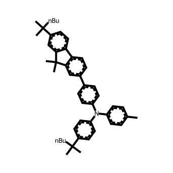 CCCCC(C)(C)c1ccc(N(c2ccc(C)cc2)c2ccc(-c3ccc4c(c3)C(C)(C)c3cc(C(C)(C)CCCC)ccc3-4)cc2)cc1